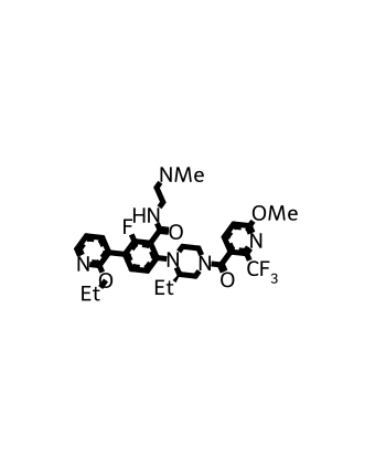 CCOc1ncccc1-c1ccc(N2CCN(C(=O)c3ccc(OC)nc3C(F)(F)F)C[C@H]2CC)c(C(=O)NCCNC)c1F